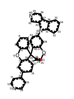 c1ccc2c(c1)Oc1cc(-c3ccncc3)ccc1C21c2ccccc2Oc2cc(-n3c4ccccc4c4ccncc43)ccc21